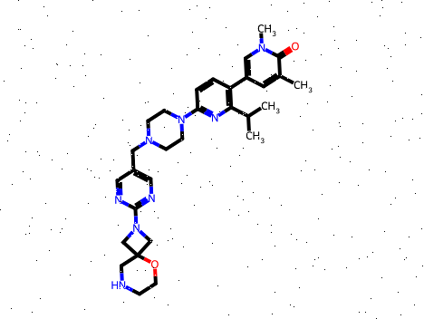 Cc1cc(-c2ccc(N3CCN(Cc4cnc(N5CC6(CNCCO6)C5)nc4)CC3)nc2C(C)C)cn(C)c1=O